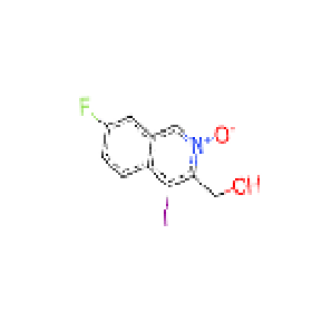 [O-][n+]1cc2cc(F)ccc2c(I)c1CO